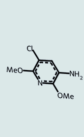 COc1nc(OC)c(Cl)cc1N